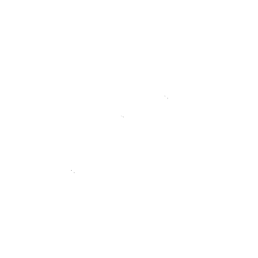 Cc1cc(N2CCC(N3CCCC3C)C2)ccc1[N+](=O)[O-]